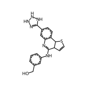 OCc1cccc(NC2=Nc3cc(C4=NNNN4)ccc3C3SC=CC23)c1